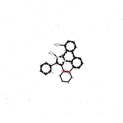 Cc1cccc2c3cccc4c3n3c(c(-c5ccccc5)[n+](C)c3c12)C12CCCCC41CCCC2